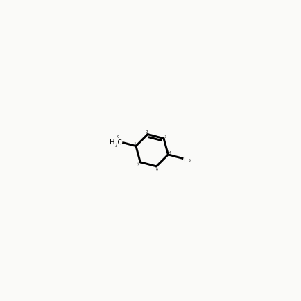 CC1C=CC(I)CC1